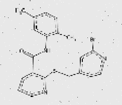 Cc1ccc(C)c(NC(=O)c2cccnc2SCc2ccnc(Br)c2)c1